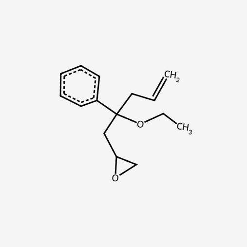 C=CCC(CC1CO1)(OCC)c1ccccc1